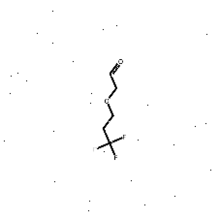 O=CCOCCC(F)(F)F